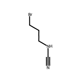 N#CNCCCBr